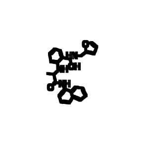 CC(Nc1ccccc1C(O)NCc1ccco1)C(=O)Nc1cccc2ccccc12